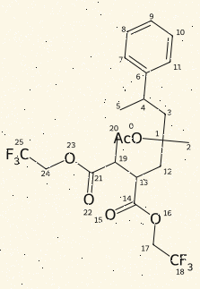 CC(=O)OC(C)(CC(C)c1ccccc1)CC(C(=O)OCC(F)(F)F)C(C)C(=O)OCC(F)(F)F